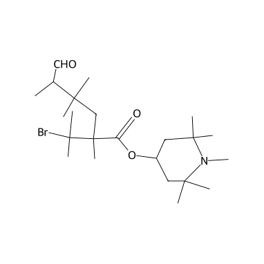 CC(C=O)C(C)(C)CC(C)(C(=O)OC1CC(C)(C)N(C)C(C)(C)C1)C(C)(C)Br